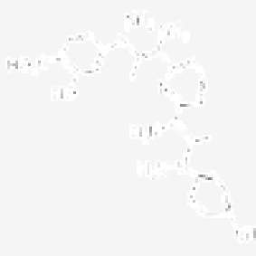 C/C(=C(/N)c1cccc(/C(N)=C(\C)N(N)c2ccc(C(=O)O)c(O)c2)n1)N(N)c1ccc(C=O)cc1